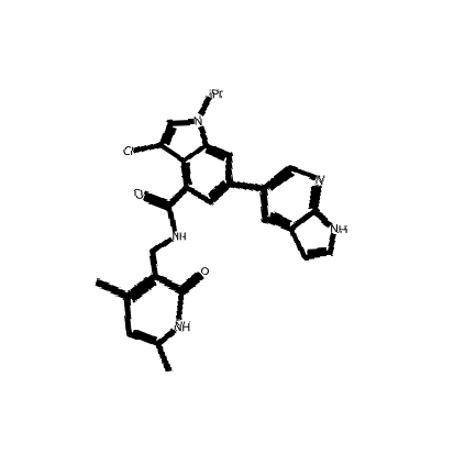 Cc1cc(C)c(CNC(=O)c2cc(-c3cnc4[nH]ccc4c3)cc3c2c(Cl)cn3C(C)C)c(=O)[nH]1